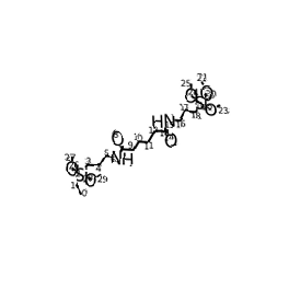 CC[Si](CCCNC(=O)CCCCC(=O)NCCC[Si](OC)(OC)OC)(OC)OC